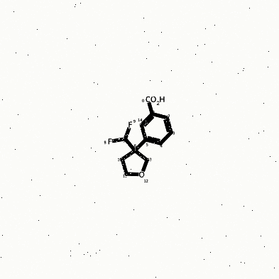 O=C(O)c1cccc(C2(C(F)F)CCOC2)c1